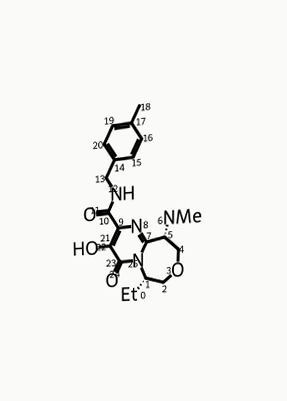 CC[C@H]1COC[C@@H](NC)c2nc(C(=O)NCc3ccc(C)cc3)c(O)c(=O)n21